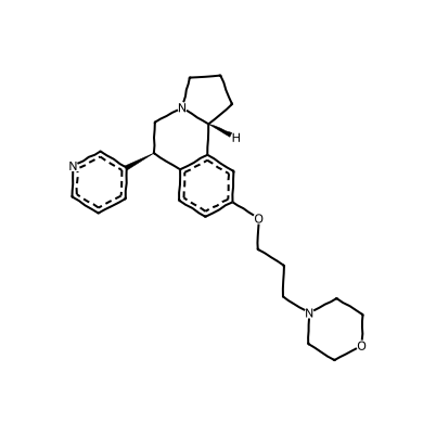 c1cncc([C@H]2CN3CCC[C@@H]3c3cc(OCCCN4CCOCC4)ccc32)c1